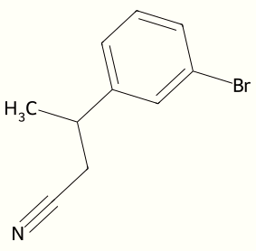 CC(CC#N)c1cccc(Br)c1